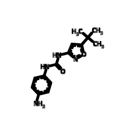 CC(C)(C)c1cc(NC(=O)Nc2ccc(N)cc2)no1